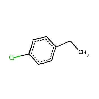 CCc1ccc(Cl)cc1